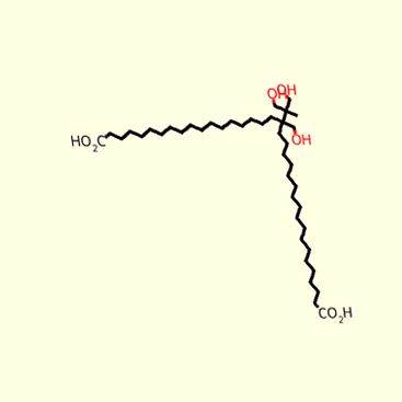 CC(CO)(CO)C(CO)(CCCCCCCCCCCCCCCCCC(=O)O)CCCCCCCCCCCCCCCCCC(=O)O